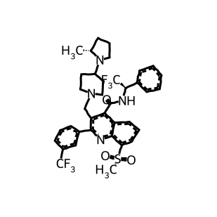 C[C@@H]1CCCN1C1CCN(Cc2c(-c3cccc(C(F)(F)F)c3)nc3c(S(C)(=O)=O)cccc3c2C(=O)N[C@H](c2ccccc2)C(F)(F)F)CC1